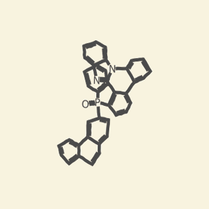 O=P(c1ccccc1)(c1ccc2ccc3ccccc3c2c1)c1cccc2c3ccccc3n3c4ccccc4nc3c12